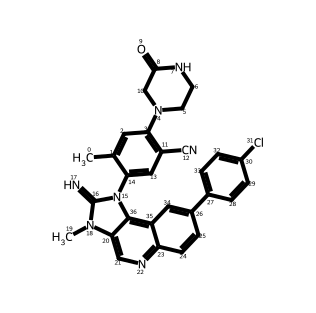 Cc1cc(N2CCNC(=O)C2)c(C#N)cc1-n1c(=N)n(C)c2cnc3ccc(-c4ccc(Cl)cc4)cc3c21